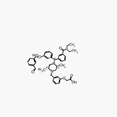 CCN(CC)C(=O)c1cccc([C@H](c2cccc(O)c2)N2C[C@@H](C)N(Cc3cccc(OCC(=O)O)c3)C[C@@H]2C)c1.O=Cc1cccc(O)c1